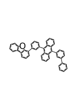 c1ccc(-c2cccc(-c3c4ccccc4c(-c4cccc(-c5cccc6c5oc5ccccc56)c4)c4ccccc34)c2)cc1